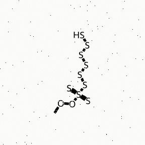 COOS(=S)(=S)SSSSSS